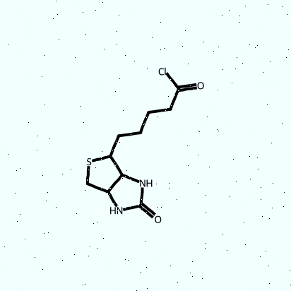 O=C(Cl)CCCCC1SCC2NC(=O)NC21